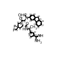 C[C@@H](NC(=O)[C@@H]1C[C@](F)(CF)CN1C(=O)CN(C=O)c1ccc2c(c1)-c1ccccc1C2)c1cc(C(=N)N)cs1